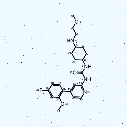 COCCNC1CCC(NC(=O)Nc2cc(-c3ccc(F)cc3OC)ccn2)CC1